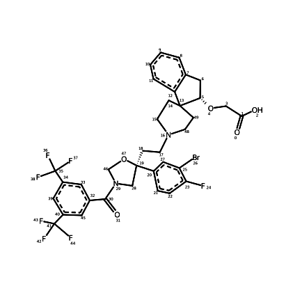 O=C(O)CO[C@H]1Cc2ccccc2C12CCN(CC[C@]1(c3ccc(F)c(Br)c3)CN(C(=O)c3cc(C(F)(F)F)cc(C(F)(F)F)c3)CO1)CC2